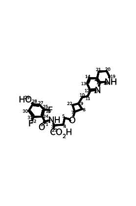 O=C(NC(CCOC1CC(CCc2ccc3c(n2)NCCC3)C1)C(=O)O)c1c(F)cc(O)cc1F